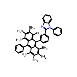 Bc1c(B)c(B)c2c(-c3cccc(-c4nc5ccccc5n4-c4ccccc4)c3)c3c(B)c(B)c(B)c(B)c3c(-c3ccccc3)c2c1B